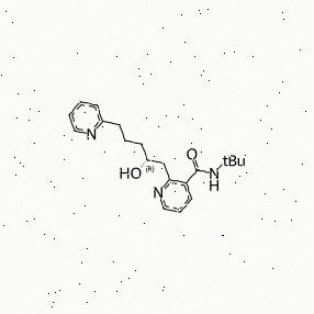 CC(C)(C)NC(=O)c1cccnc1C[C@H](O)CCCc1ccccn1